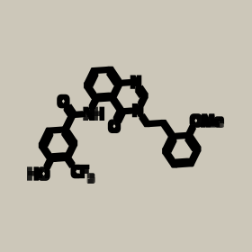 COc1ccccc1CCn1cnc2cccc(NC(=O)c3ccc(O)c(C(F)(F)F)c3)c2c1=O